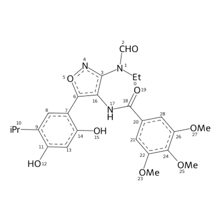 CCN(C=O)c1noc(-c2cc(C(C)C)c(O)cc2O)c1NC(=O)c1cc(OC)c(OC)c(OC)c1